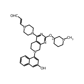 CN1CCC[C@@H](Oc2nc3c(c(N4CCN(C=CC=O)CC4)n2)CCN(c2cc(O)cc4ccccc24)C3)C1